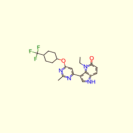 CCn1c(=O)ccc2[nH]cc(-c3cc(OC4CCC(C(F)(F)F)CC4)nc(C)n3)c21